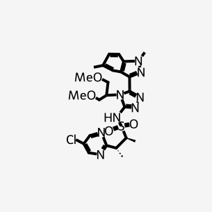 COCC(COC)n1c(NS(=O)(=O)[C@@H](C)[C@H](C)c2ncc(Cl)cn2)nnc1-c1nn(C)c2ccc(C)cc12